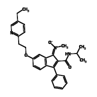 CCc1ccc(CCOc2ccc3c(c2)/C(=[N+](/C)[O-])C(C(=O)NC(C)C)=C3c2ccccc2)nc1